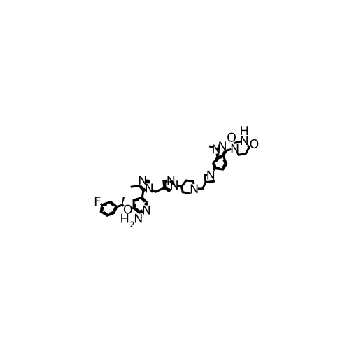 Cc1ncn(Cc2cnn(C3CCN(CC4CN(c5ccc6c(N7CCC(=O)NC7=O)nn(C)c6c5)C4)CC3)c2)c1-c1cnc(N)c(O[C@H](C)c2cccc(F)c2)c1